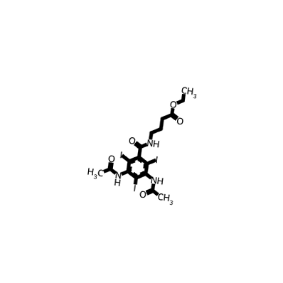 CCOC(=O)CCCNC(=O)c1c(I)c(NC(C)=O)c(I)c(NC(C)=O)c1I